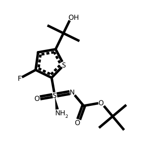 CC(C)(C)OC(=O)N=[S@](N)(=O)c1sc(C(C)(C)O)cc1F